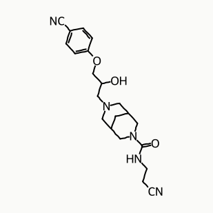 N#CCCNC(=O)N1CC2CC(CN(CC(O)COc3ccc(C#N)cc3)C2)C1